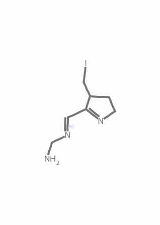 NC/N=C/C1=NCCC1CI